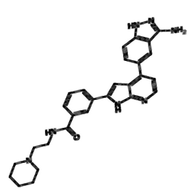 Nc1n[nH]c2ccc(-c3ccnc4[nH]c(-c5cccc(C(=O)NCCN6CCCCC6)c5)cc34)cc12